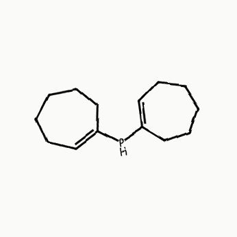 C1=C(PC2=CCCCCC2)CCCCC1